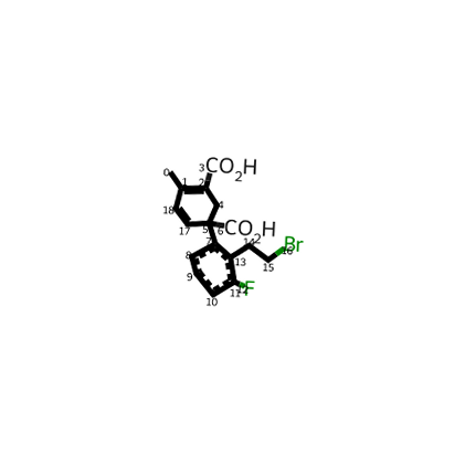 CC1=C(C(=O)O)CC(C(=O)O)(c2cccc(F)c2CCBr)C=C1